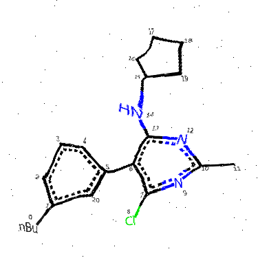 CCCCc1cccc(-c2c(Cl)nc(C)nc2NC2CCCC2)c1